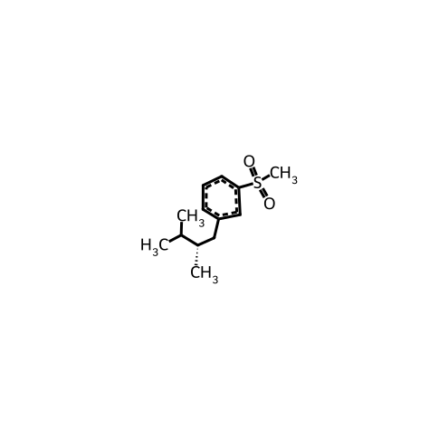 CC(C)[C@@H](C)Cc1cccc(S(C)(=O)=O)c1